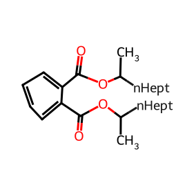 CCCCCCCC(C)OC(=O)c1ccccc1C(=O)OC(C)CCCCCCC